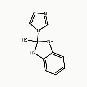 SC1(n2ccnc2)Nc2ccccc2N1